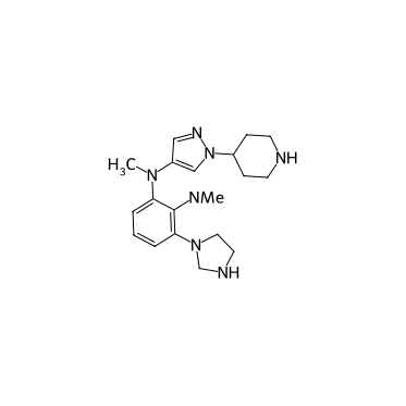 CNc1c(N2CCNC2)cccc1N(C)c1cnn(C2CCNCC2)c1